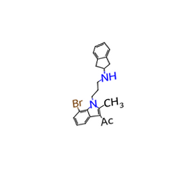 CC(=O)c1c(C)n(CCCNC2Cc3ccccc3C2)c2c(Br)cccc12